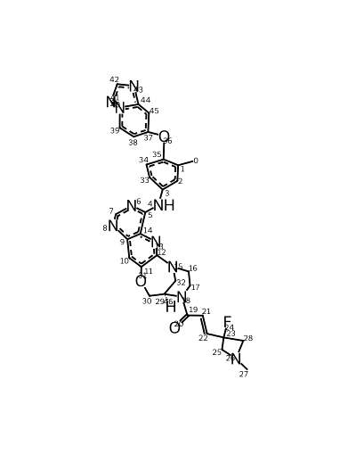 Cc1cc(Nc2ncnc3cc4c(nc23)N2CCN(C(=O)/C=C/C3(F)CN(C)C3)[C@@H](CO4)C2)ccc1Oc1ccn2ncnc2c1